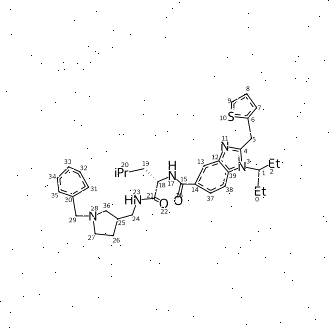 CCC(CC)n1c(Cc2cccs2)nc2cc(C(=O)N[C@@H](CC(C)C)C(=O)NCC3CCN(Cc4ccccc4)C3)ccc21